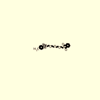 Cc1ccc(S(=O)(=O)OCCOCCOCCOCCN2C(=O)c3ccccc3C2=O)cc1